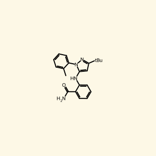 Cc1ccccc1-n1nc(C(C)(C)C)cc1Nc1ccccc1C(N)=O